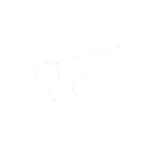 O=[N+]([O-])c1c(Cl)cccc1CCCCO